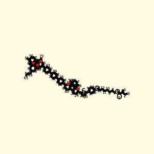 C=C(CC)C(=O)OCCCCCCCOc1ccc(-c2ccc(-c3ccc4c(c3)C3(c5cc(-c6ccc(-c7ccc(-c8ccc(-c9ccc%10c(c9)C9(c%11cc(C)ccc%11-%10)C%10(C)CC(CCC)CC9(C)CC(CCC)C%10)cc8)cc7)cc6)ccc5-4)C(C)(C)CCC3(C)C)s2)cc1